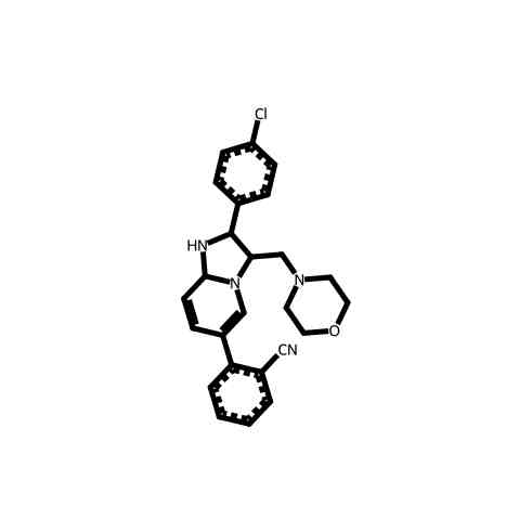 N#Cc1ccccc1C1=CN2C(C=C1)NC(c1ccc(Cl)cc1)C2CN1CCOCC1